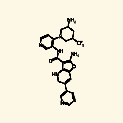 Nc1oc2c(c1C(=O)Nc1cnccc1N1C[C@@H](N)C[C@@H](C(F)(F)F)C1)NCC(c1cncnc1)=C2